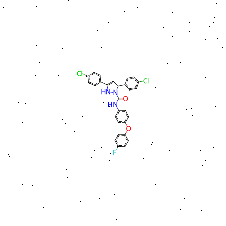 O=C(Nc1ccc(Oc2ccc(F)cc2)cc1)N1NC(c2ccc(Cl)cc2)=CC1c1ccc(Cl)cc1